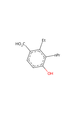 CCCc1c(O)ccc(C(=O)O)c1CC